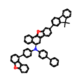 CC1(C)c2ccccc2-c2ccc(-c3ccc4c(c3)oc3c5ccccc5c(N(c5ccc(-c6ccccc6)cc5)c5ccc(-c6cccc7oc8ccccc8c67)cc5)cc43)cc21